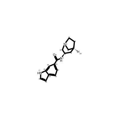 O=C(N[C@@H]1C[C@@H]2CCN(C2)C1)c1ccc2cc[nH]c2c1